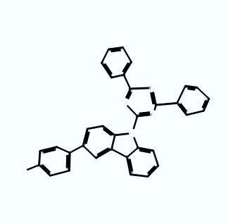 Brc1ccc(-c2ccc3c(c2)c2ccccc2n3-c2nc(-c3ccccc3)nc(-c3ccccc3)n2)cc1